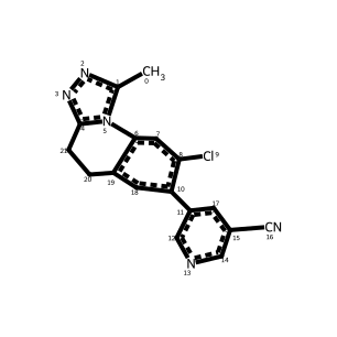 Cc1nnc2n1-c1cc(Cl)c(-c3cncc(C#N)c3)cc1CC2